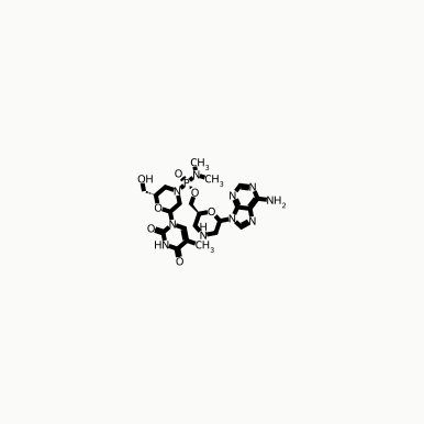 Cc1cn(C2CN([P@@](=O)(OC[C@@H]3CNCC(n4cnc5c(N)ncnc54)O3)N(C)C)C[C@@H](CO)O2)c(=O)[nH]c1=O